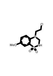 COc1ccc2c(c1)S(=O)(=O)NCN2CCCl